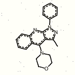 Cc1nn(-c2ccccc2)c2nc3ccccc3c(N3CCOCC3)c12